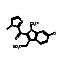 CCOC(=O)n1c(C(=O)c2nccn2C)c(CC(=O)O)c2ccc(Cl)cc21